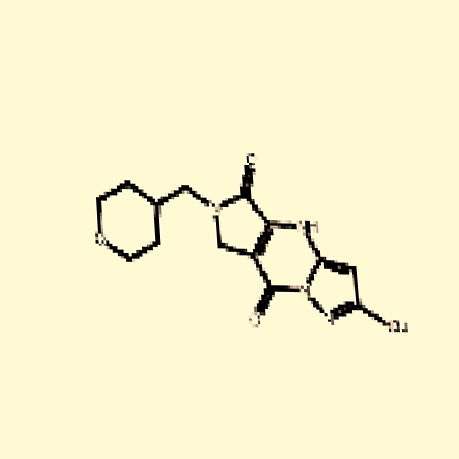 CC(C)(C)c1cc2[nH]c3c(c(=O)n2n1)CN(CC1CCOCC1)C3=O